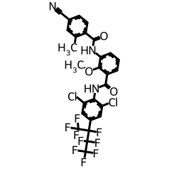 COc1c(NC(=O)c2ccc(C#N)cc2C)cccc1C(=O)Nc1c(Cl)cc(C(F)(C(F)(F)F)C(F)(F)C(F)(F)F)cc1Cl